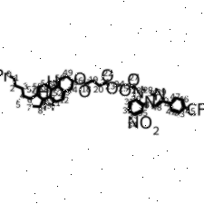 CC(C)CCC[C@@H](C)[C@H]1CC[C@H]2[C@@H]3CC=C4C[C@@H](OC(=O)CCC(=O)OCOC(=O)N(C)c5ccc([N+](=O)[O-])cc5-n5cnc(-c6ccc(C(F)(F)F)cc6)c5)CC[C@]4(C)[C@H]3CC[C@]12C